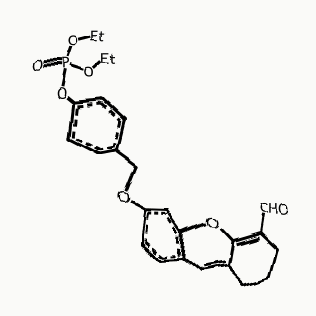 CCOP(=O)(OCC)Oc1ccc(COc2ccc3c(c2)OC2=C(C=O)CCCC2=C3)cc1